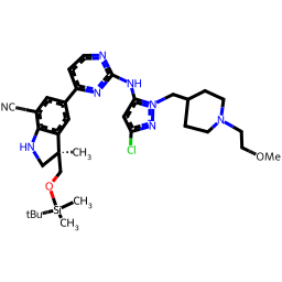 COCCN1CCC(Cn2nc(Cl)cc2Nc2nccc(-c3cc(C#N)c4c(c3)[C@@](C)(CO[Si](C)(C)C(C)(C)C)CN4)n2)CC1